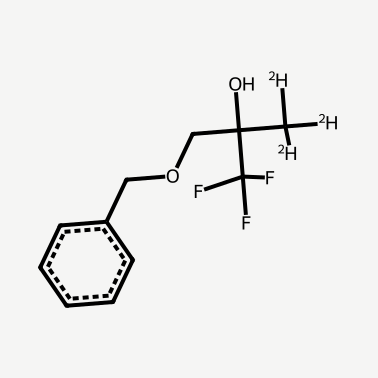 [2H]C([2H])([2H])C(O)(COCc1ccccc1)C(F)(F)F